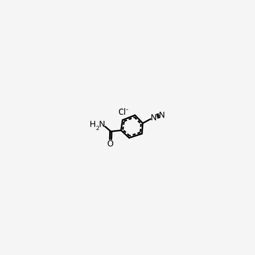 N#[N+]c1ccc(C(N)=O)cc1.[Cl-]